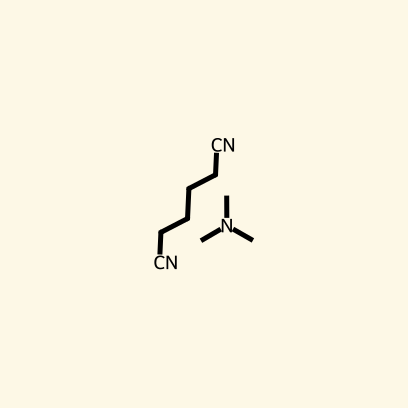 CN(C)C.N#CCCCCC#N